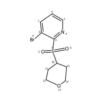 O=S(=O)(c1ncccc1Br)C1CCOCC1